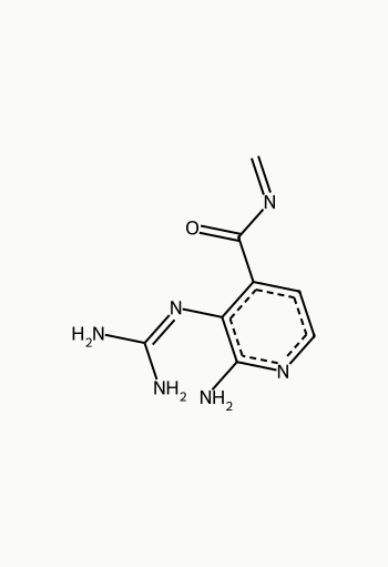 C=NC(=O)c1ccnc(N)c1N=C(N)N